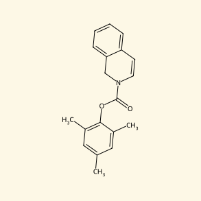 Cc1cc(C)c(OC(=O)N2C=Cc3ccccc3C2)c(C)c1